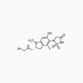 CC(C)CNC[C@H]1Cc2c(cc(O)c(N3CC(=O)NS3(=O)=O)c2F)N1C